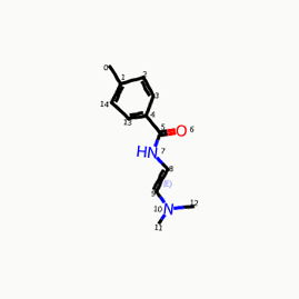 Cc1ccc(C(=O)N/C=C/N(C)C)cc1